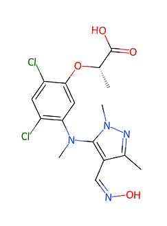 Cc1nn(C)c(N(C)c2cc(O[C@@H](C)C(=O)O)c(Cl)cc2Cl)c1/C=N\O